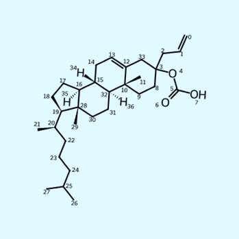 C=CCC1(OC(=O)O)CC[C@@]2(C)C(=CC[C@H]3[C@@H]4CC[C@H]([C@H](C)CCCC(C)C)[C@@]4(C)CC[C@@H]32)C1